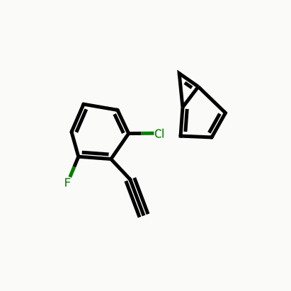 C#Cc1c(F)cccc1Cl.c1cc2cc-2c1